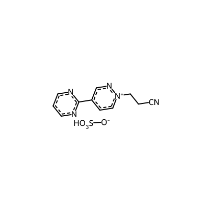 N#CCC[n+]1ccc(-c2ncccn2)cn1.O=S(=O)([O-])O